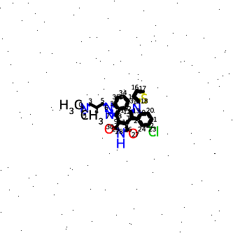 CN(C)CCCn1nc(C2=C(c3cn(-c4cccs4)c4ccc(Cl)cc34)C(=O)NC2=O)c2ccccc21